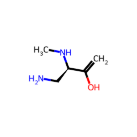 C=C(O)[C@@H](CN)NC